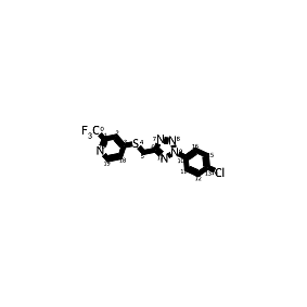 FC(F)(F)c1cc(SCc2nnn(-c3ccc(Cl)cc3)n2)ccn1